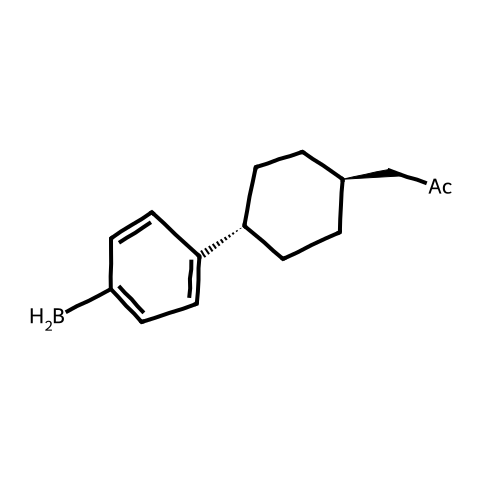 Bc1ccc([C@H]2CC[C@H](CC(C)=O)CC2)cc1